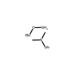 CC(C)(C)O[SiH3].CCCN(C)C